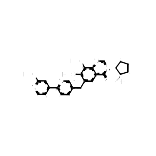 Cc1cc(-c2ccc(Cc3cc4c(=O)n([C@@H]5CCC[C@H]5O)cnc4c(C)c3C)cn2)ccn1